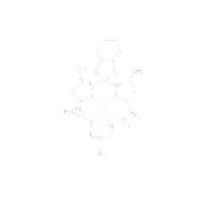 CC1=CC(C)=[N+]2C1=C(c1c(C)cc(C)cc1C)c1c(C)cc(C)n1[B-]21Oc2ccccc2O1